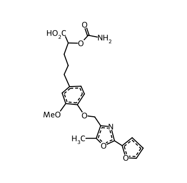 COc1cc(CCCC(OC(N)=O)C(=O)O)ccc1OCc1nc(-c2ccco2)oc1C